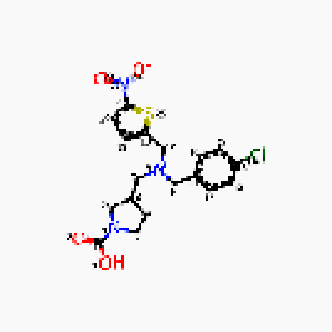 O=C(O)N1CCC(CN(Cc2ccc(Cl)cc2)Cc2ccc([N+](=O)[O-])s2)C1